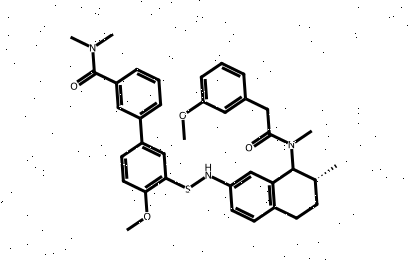 COc1cccc(CC(=O)N(C)C2c3cc(NSc4cc(-c5cccc(C(=O)N(C)C)c5)ccc4OC)ccc3CC[C@H]2C)c1